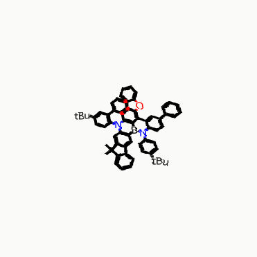 CC(C)(C)c1ccc(N2B3c4cc5c(cc4N(c4ccc(C(C)(C)C)cc4-c4ccccc4)c4cc6c(oc7ccccc76)c(c43)-c3cc(-c4ccccc4)ccc32)C(C)(C)c2ccccc2-5)cc1